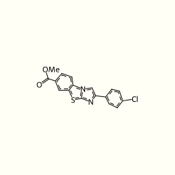 COC(=O)c1ccc2c(c1)sc1nc(-c3ccc(Cl)cc3)cn12